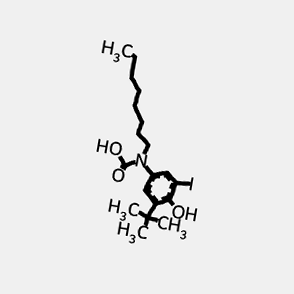 CCCCCCCCN(C(=O)O)c1cc(I)c(O)c(C(C)(C)C)c1